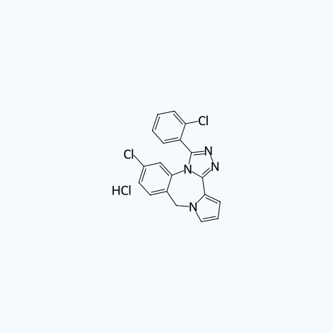 Cl.Clc1ccc2c(c1)-n1c(-c3ccccc3Cl)nnc1-c1cccn1C2